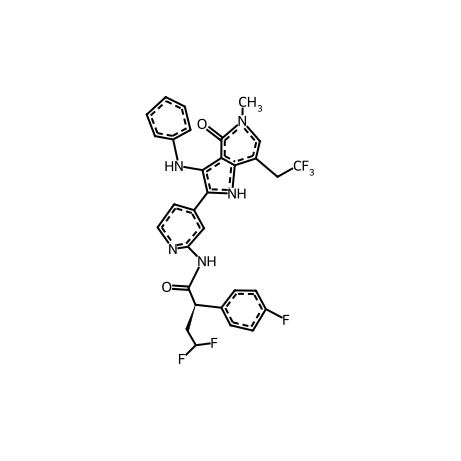 Cn1cc(CC(F)(F)F)c2[nH]c(-c3ccnc(NC(=O)[C@H](CC(F)F)c4ccc(F)cc4)c3)c(Nc3ccccc3)c2c1=O